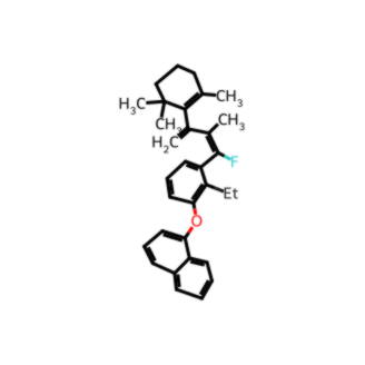 C=C(C(C)=C(F)c1cccc(Oc2cccc3ccccc23)c1CC)C1=C(C)CCCC1(C)C